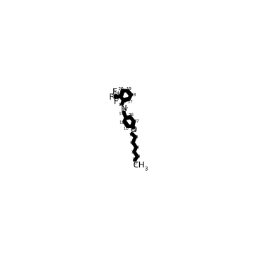 CCCCCCCCOc1ccc(C[N]Cc2ccccc2C(F)(F)F)cc1